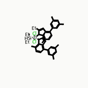 CCC1=Cc2c(-c3cc(C)cc(C)c3)ccc(C)c2[CH]1[Zr]([Cl])([Cl])([CH]1C(C)=Cc2c(-c3cc(C)cc(C)c3)ccc(C)c21)[SiH](CC)CC